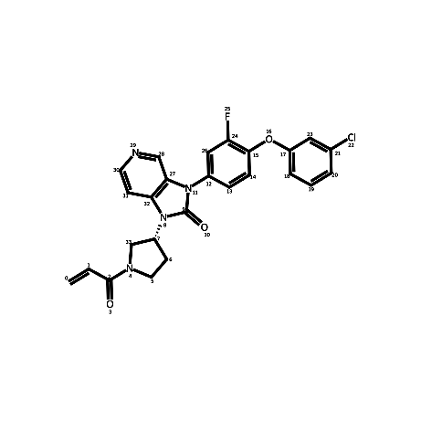 C=CC(=O)N1CC[C@@H](n2c(=O)n(-c3ccc(Oc4cccc(Cl)c4)c(F)c3)c3cnccc32)C1